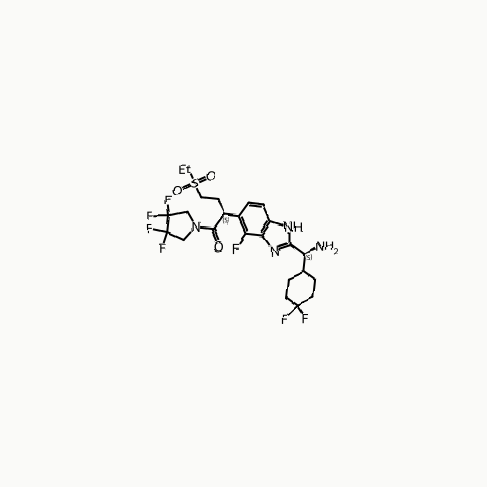 CCS(=O)(=O)CC[C@H](C(=O)N1CC(F)(F)C(F)(F)C1)c1ccc2[nH]c([C@@H](N)C3CCC(F)(F)CC3)nc2c1F